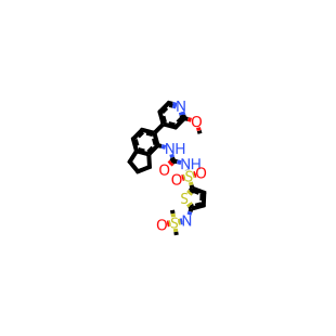 COc1cc(-c2ccc3c(c2NC(=O)NS(=O)(=O)c2ccc(N=S(C)(C)=O)s2)CCC3)ccn1